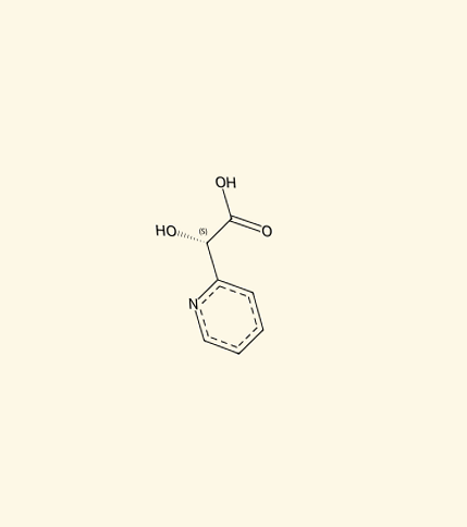 O=C(O)[C@@H](O)c1ccccn1